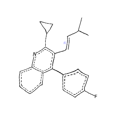 CC(C)/C=C/c1c(C2CC2)nc2ccccc2c1-c1ccc(F)cc1